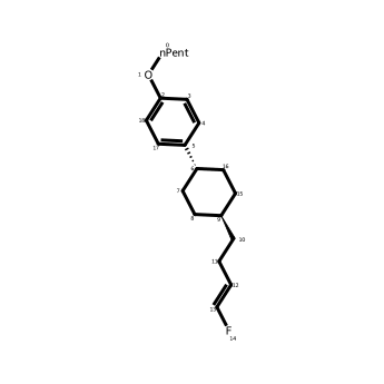 CCCCCOc1ccc([C@H]2CC[C@H](CC/C=C/F)CC2)cc1